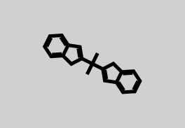 CC(C)(C1=Cc2ccccc2C1)C1=Cc2ccccc2C1